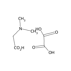 CN(C)CC(=O)O.O=C(O)C(=O)O